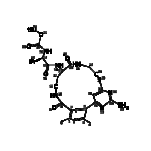 Cc1cc(C)c2cc1C(=O)NCCC(NC(=O)[C@H](NC(=O)OC(C)(C)C)C(C)C)C(=O)NCCSc1cc-2nc(N)n1